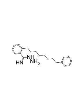 N=C(NN)c1ccccc1CCCCCCCCc1ccccc1